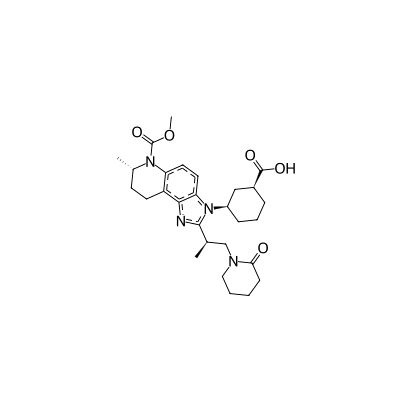 COC(=O)N1c2ccc3c(nc([C@H](C)CN4CCCCC4=O)n3[C@@H]3CCC[C@H](C(=O)O)C3)c2CC[C@@H]1C